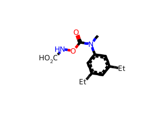 CCc1cc(CC)cc(N(C)C(=O)ONC(=O)O)c1